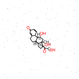 C[C@]12C[C@H](O)[C@@H]3C4C=CC(=O)C=C4CC[C@H]3[C@@H]1CC[C@]2(O)C(=O)CO